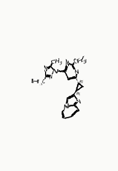 Cc1nc([C@@H]2C[C@H]2c2cn3ccccc3n2)cc(-n2nc(C)nc2C)n1